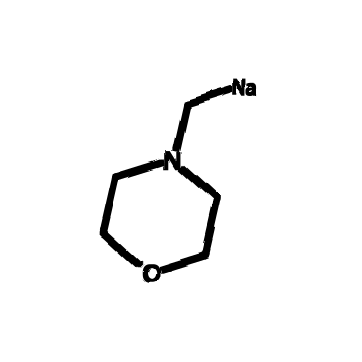 [Na][CH2]N1CCOCC1